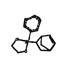 C1=CC2CC1CC2[Si]1(c2ccccc2)OCCO1